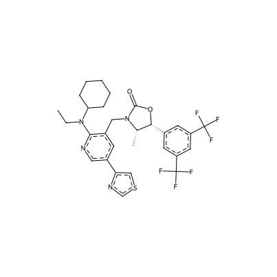 CCN(c1ncc(-c2cscn2)cc1CN1C(=O)O[C@H](c2cc(C(F)(F)F)cc(C(F)(F)F)c2)[C@@H]1C)C1CCCCC1